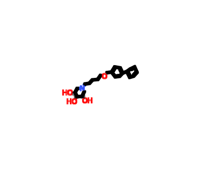 O[C@H]1[C@H](O)CN(CCCCCOCc2ccc(-c3ccccc3)cc2)C[C@@H]1O